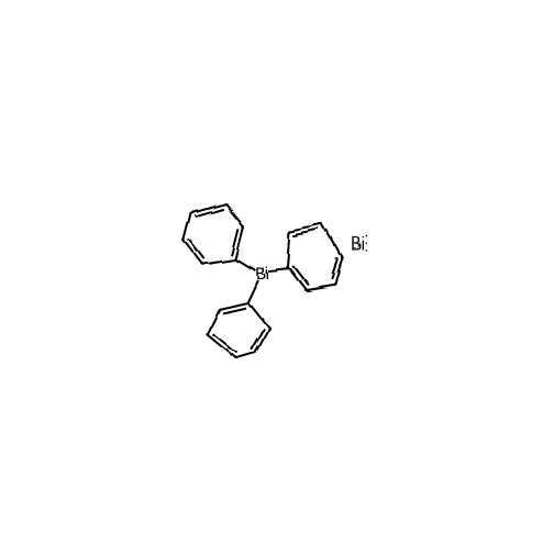 [Bi].c1cc[c]([Bi]([c]2ccccc2)[c]2ccccc2)cc1